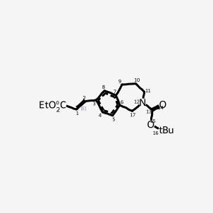 CCOC(=O)/C=C/c1ccc2c(c1)CCCN(C(=O)OC(C)(C)C)C2